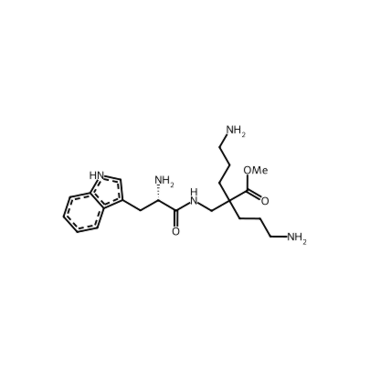 COC(=O)C(CCCN)(CCCN)CNC(=O)[C@@H](N)Cc1c[nH]c2ccccc12